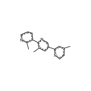 Cc1ccnc(-c2cnc(-c3cccnc3C)c(C)c2)c1